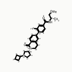 COC[C@H](C)NC(=O)c1ccc(-c2ccc3c(c2)CCN([C@@H]2CCN(C4CCC4)C2)C3=O)c(F)c1